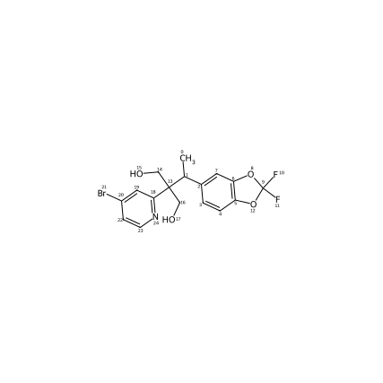 CC(c1ccc2c(c1)OC(F)(F)O2)C(CO)(CO)c1cc(Br)ccn1